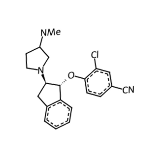 CNC1CCN([C@@H]2Cc3ccccc3[C@H]2Oc2ccc(C#N)cc2Cl)C1